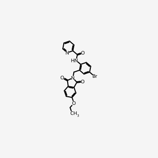 CCOc1ccc2c(c1)C(=O)N(Cc1cc(Br)ccc1NC(=O)c1ccccn1)C2=O